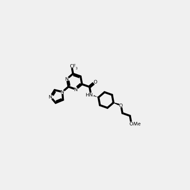 COCCO[C@H]1CC[C@H](NC(=O)c2cc(C(F)(F)F)nc(-n3ccnc3)n2)CC1